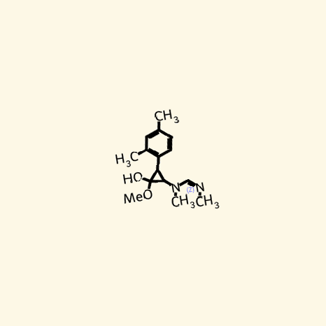 C/N=C\N(C)C1C(c2ccc(C)cc2C)C1(O)OC